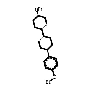 CCC[C@H]1CC[C@H]([C@H]2CC[C@H](c3ccc(OCC)cc3)CC2)CC1